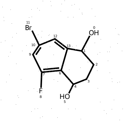 OC1CCC(O)c2c(F)cc(Br)cc21